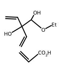 C=CC(=O)O.C=CC(O)(C=C)C(O)OCC